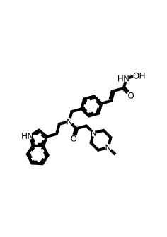 CN1CCN(CC(=O)N(CCc2c[nH]c3ccccc23)Cc2ccc(/C=C/C(=O)NO)cc2)CC1